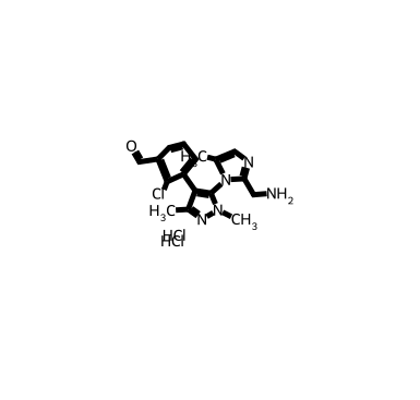 Cc1nn(C)c(-n2c(C)cnc2CN)c1-c1cccc(C=O)c1Cl.Cl.Cl